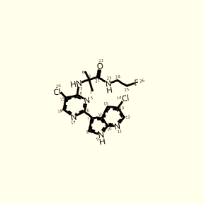 CC(C)(Nc1nc(-c2c[nH]c3ncc(Cl)cc23)ncc1Cl)C(=O)NCCF